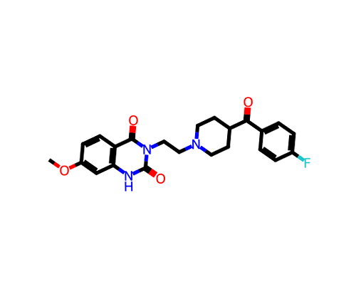 COc1ccc2c(=O)n(CCN3CCC(C(=O)c4ccc(F)cc4)CC3)c(=O)[nH]c2c1